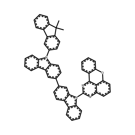 CC1(C)c2ccccc2-c2cc(-n3c4ccccc4c4cc(-c5ccc6c7ccccc7n(-c7nc8c9c(cccc9n7)Oc7ccccc7-8)c6c5)ccc43)ccc21